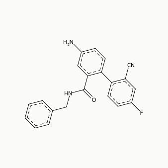 N#Cc1cc(F)ccc1-c1ccc(N)cc1C(=O)NCc1ccccc1